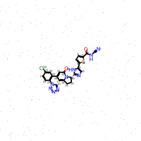 N#CNC(=O)c1ccc(-c2cnc([C@@H]3CCc4cc(-c5cc(Cl)ccc5-n5cnnn5)cc(=O)n43)[nH]2)s1